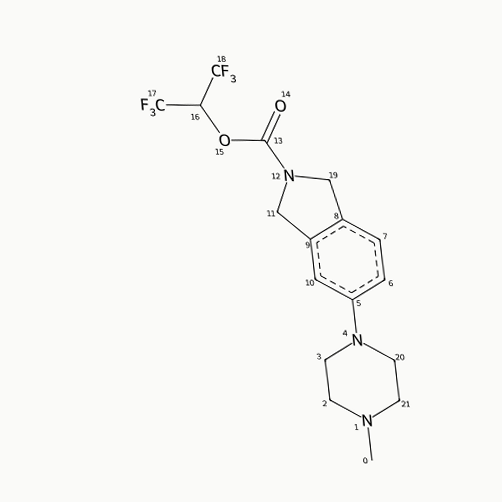 CN1CCN(c2ccc3c(c2)CN(C(=O)OC(C(F)(F)F)C(F)(F)F)C3)CC1